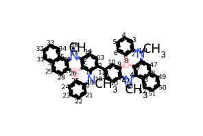 CN1c2ccccc2B2c3cc(-c4ccc5c6c4N(C)c4ccccc4B6c4ccc6ccccc6c4N5C)ccc3N(C)c3c2c1cc1ccccc31